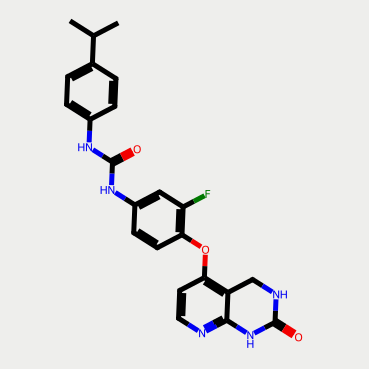 CC(C)c1ccc(NC(=O)Nc2ccc(Oc3ccnc4c3CNC(=O)N4)c(F)c2)cc1